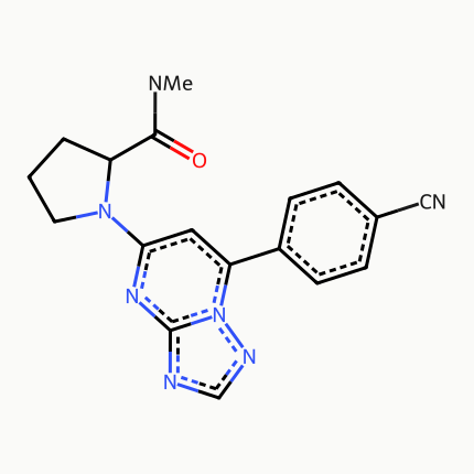 CNC(=O)C1CCCN1c1cc(-c2ccc(C#N)cc2)n2ncnc2n1